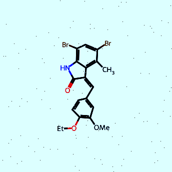 CCOc1ccc(C=C2C(=O)Nc3c(Br)cc(Br)c(C)c32)cc1OC